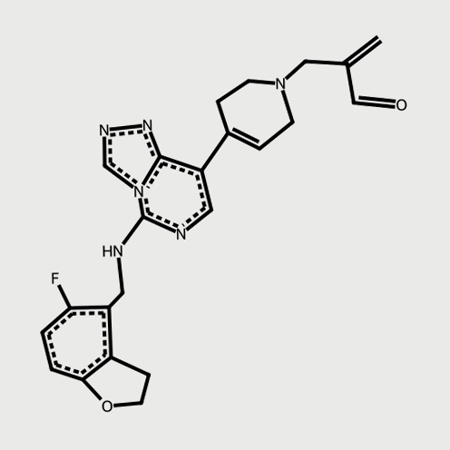 C=C(C=O)CN1CC=C(c2cnc(NCc3c(F)ccc4c3CCO4)n3cnnc23)CC1